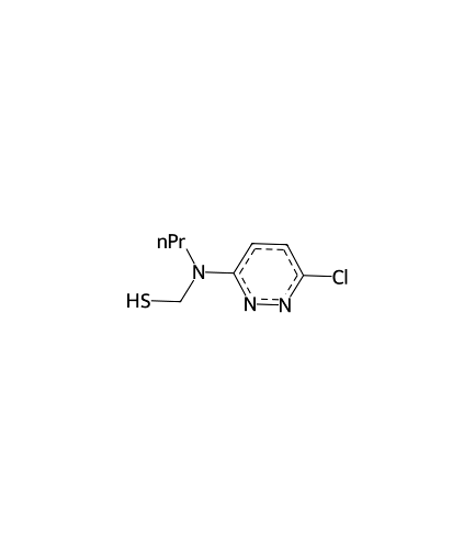 CCCN(CS)c1ccc(Cl)nn1